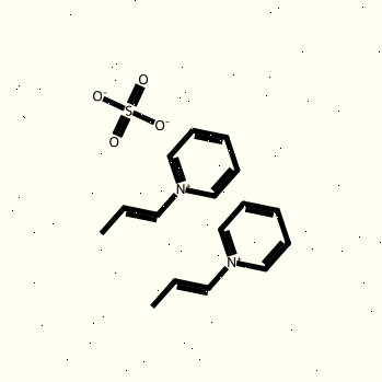 CC=C[n+]1ccccc1.CC=C[n+]1ccccc1.O=S(=O)([O-])[O-]